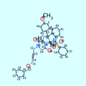 COc1ccc([C@]23C[C@H]4C(=O)N(CC#CCOCc5ccccc5)CC(=O)N4[C@H]2N(S(=O)(=O)c2ccccc2)c2ccccc23)cc1